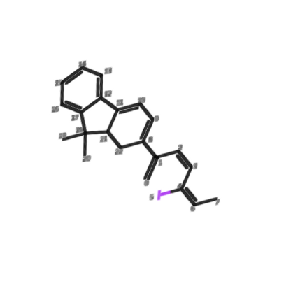 C=C(/C=C\C(I)=C/C)C1=CC=C2c3ccccc3C(C)(C)C2C1